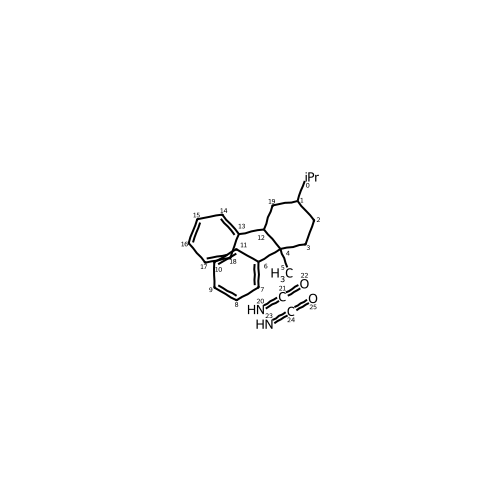 CC(C)C1CCC(C)(c2ccccc2)C(c2ccccc2)C1.N=C=O.N=C=O